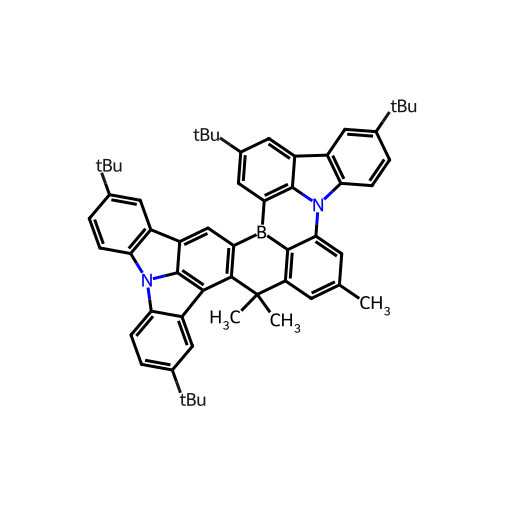 Cc1cc2c3c(c1)C(C)(C)c1c(cc4c5cc(C(C)(C)C)ccc5n5c6ccc(C(C)(C)C)cc6c1c45)B3c1cc(C(C)(C)C)cc3c4cc(C(C)(C)C)ccc4n-2c13